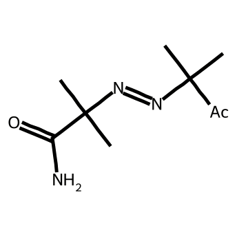 CC(=O)C(C)(C)N=NC(C)(C)C(N)=O